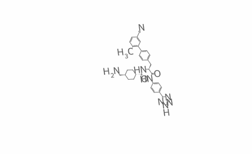 Cc1ccc(C#N)cc1-c1ccc(C[C@H](NC(=O)[C@H]2CC[C@H](CN)CC2)C(=O)Nc2ccc(-c3nn[nH]n3)cc2)cc1